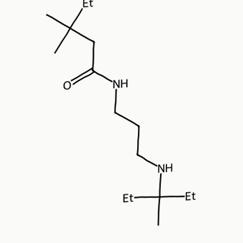 CCC(C)(C)CC(=O)NCCCNC(C)(CC)CC